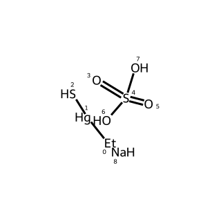 C[CH2][Hg][SH].O=S(=O)(O)O.[NaH]